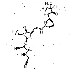 CCn1c(=C=C(C#N)C(=O)NCC#N)sc(=C=CNc2cccc(NC(=O)C(C)(C)C)n2)c1=O